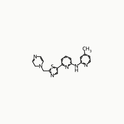 Cc1ccnc(Nc2cccc(-c3cnc(CN4C=CN=CC4)s3)n2)c1